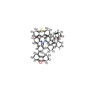 c1ccc(-c2ccccc2[Si](c2ccccc2)(c2ccccc2)c2ccc3c(c2)-n2c4ccc(-c5cccc6oc7ccccc7c56)cc4c4cccc(c42)C32c3ccccc3Sc3ccccc32)cc1